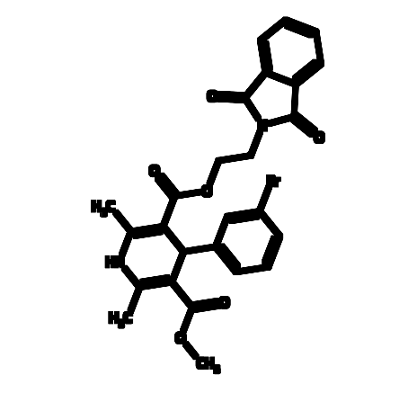 COC(=O)C1=C(C)NC(C)=C(C(=O)OCCN2C(=O)c3ccccc3C2=O)C1c1cccc(Br)c1